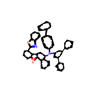 c1ccc(-c2ccc(N(c3cc(-c4ccccc4)cc(-c4ccccc4)c3)c3cc4c(oc5cccc(-c6nc7ccccc7s6)c54)c4ccccc34)cc2)cc1